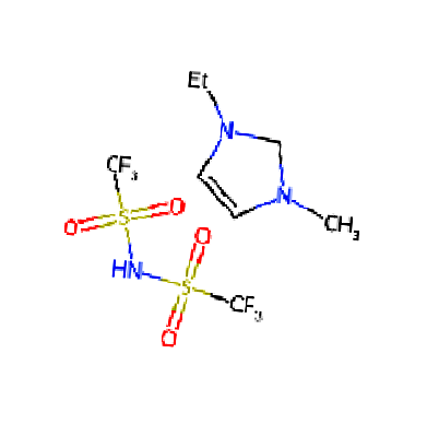 CCN1C=CN(C)C1.O=S(=O)(NS(=O)(=O)C(F)(F)F)C(F)(F)F